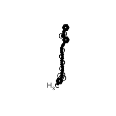 Cc1ccc(S(=O)(=O)OCCOCCOCCOCCOCC#Cc2cccc(C(=O)OCc3ccccc3)c2)cc1